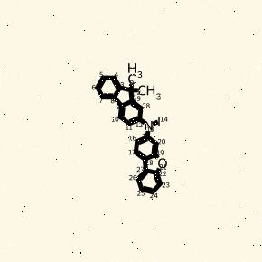 CC1(C)c2ccccc2-c2ccc(N(I)c3ccc4c(c3)oc3ccccc34)cc21